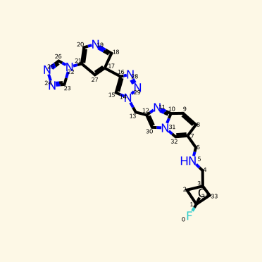 FC12CC(CNCc3ccc4nc(Cn5cc(-c6cncc(-n7cnnc7)c6)nn5)cn4c3)(C1)C2